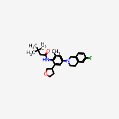 Cc1cc(N2CCc3cc(F)ccc3C2)cc(C2CCOC2)c1NC(=O)CC(C)(C)C